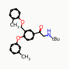 Cc1cccc(Oc2ccc(C(=O)CNC(C)(C)C)cc2COc2ccccc2C)c1